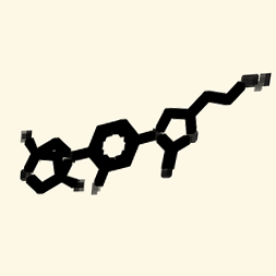 O=C1OC(CCS(=O)(=O)O)CN1c1ccc(N2C[C@@H]3C[C@H]2CO3)c(F)c1